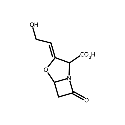 O=C(O)C1C(=CCO)OC2CC(=O)N21